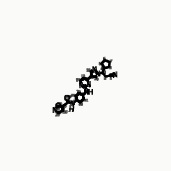 N#CCC(C1CCCC1)n1cc(-c2ccnc(Nc3ccc(NC(=O)c4ccno4)cc3)n2)cn1